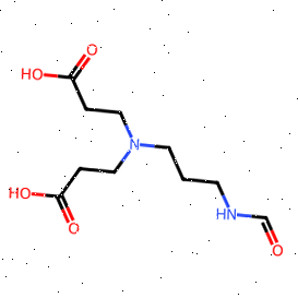 O=CNCCCN(CCC(=O)O)CCC(=O)O